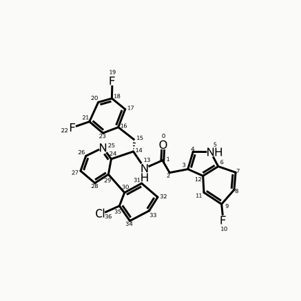 O=C(Cc1c[nH]c2ccc(F)cc12)N[C@@H](Cc1cc(F)cc(F)c1)c1ncccc1-c1ccccc1Cl